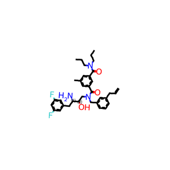 C=CCc1cccc(CN(C[C@@H](O)[C@@H](N)Cc2cc(F)cc(F)c2)C(=O)c2cc(C)cc(C(=O)N(CCC)CCC)c2)c1